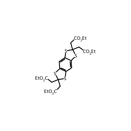 CCOC(=O)CC1(CC(=O)OCC)Sc2cc3c(cc2S1)SC(CC(=O)OCC)(CC(=O)OCC)S3